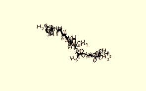 CC(CS)OC(=O)NCCCCCNC(=O)OC(C)CSCC(C)C(=O)OCCCCOC(=O)C(C)C(C)(C)C